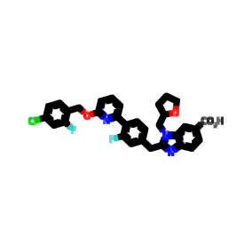 O=C(O)c1ccc2nc(Cc3ccc(-c4cccc(OCc5ccc(Cl)cc5F)n4)c(F)c3)n(CC3CCCO3)c2c1